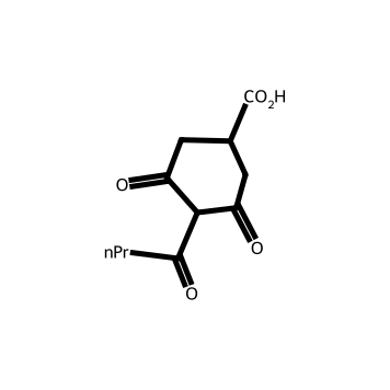 CCCC(=O)C1C(=O)CC(C(=O)O)CC1=O